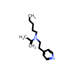 C=C(C)N(CCCCC)CCc1ccncc1